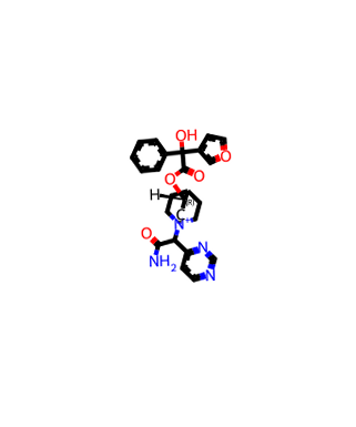 NC(=O)C(c1ccncn1)[N+]12CCC(CC1)[C@@H](OC(=O)C(O)(c1ccccc1)c1ccoc1)C2